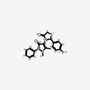 Cc1c(N2C(=O)CSC2c2ccc(F)cc2)c(=O)n(-c2ccccc2)n1C